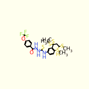 CSC1CC(SC)(SC)c2cc(NC(=S)NNC(=O)c3ccc(OC(F)(F)F)cc3)ccc2[SH]1C